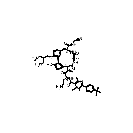 Cc1nc(-c2ccc(C(C)(C)C)cc2)nc(C)c1C(=O)N[C@@H](CCN)C(=O)N(C)[C@@H]1C(=O)N[C@@H](C)C(=O)N[C@H](C(=O)NCC#N)Cc2ccc(OCC(CN)CN)c(c2)-c2cc1ccc2O